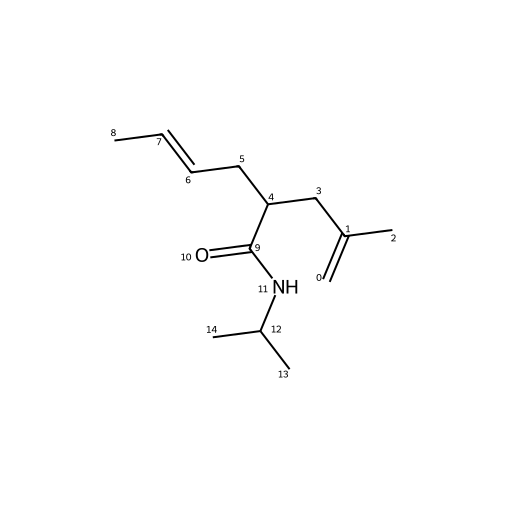 C=C(C)CC(C/C=C/C)C(=O)NC(C)C